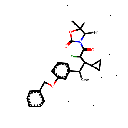 CSC(c1cccc(OCc2ccccc2)c1)C(C1CC1)C(F)C(=O)N1C(=O)OC(C)(C)C1C(C)C